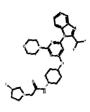 O=C(CN1CC[C@@H](F)C1)N[C@H]1CC[C@H](Oc2cc(-n3c(C(F)F)nc4ccccc43)nc(N3CCOCC3)n2)CC1